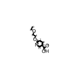 CCOCCOc1ccc(C(=O)O)cn1